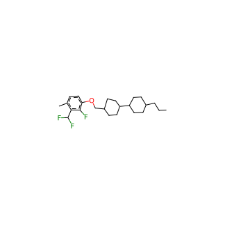 CCCC1CCC(C2CCC(COc3ccc(C)c(C(F)F)c3F)CC2)CC1